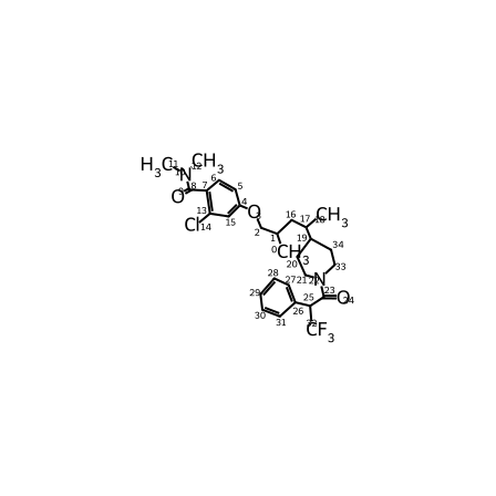 CC(COc1ccc(C(=O)N(C)C)c(Cl)c1)CC(C)C1CCN(C(=O)C(c2ccccc2)C(F)(F)F)CC1